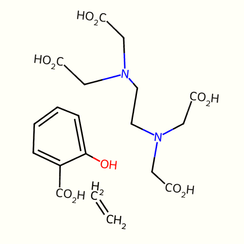 C=C.O=C(O)CN(CCN(CC(=O)O)CC(=O)O)CC(=O)O.O=C(O)c1ccccc1O